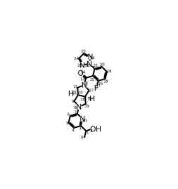 CC(O)c1cccc(N2C[C@H]3CN(C(=O)c4c(F)cccc4-n4nccn4)C[C@H]3C2)n1